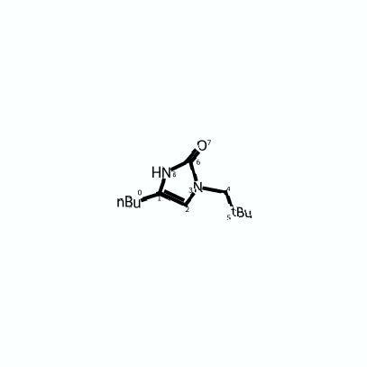 CCCCc1cn(CC(C)(C)C)c(=O)[nH]1